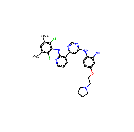 COc1cc(OC)c(Cl)c(Nc2ncccc2-c2cc(Nc3ccc(OCCN4CCCC4)cc3N)ncn2)c1Cl